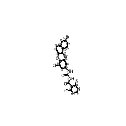 O=C(NC(=O)c1c(F)ncnc1F)Nc1ccc(Oc2ccc3cc(Br)ccc3c2Br)c(Cl)c1